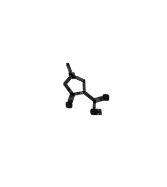 CN1CC(=O)C(C(=O)O)C1